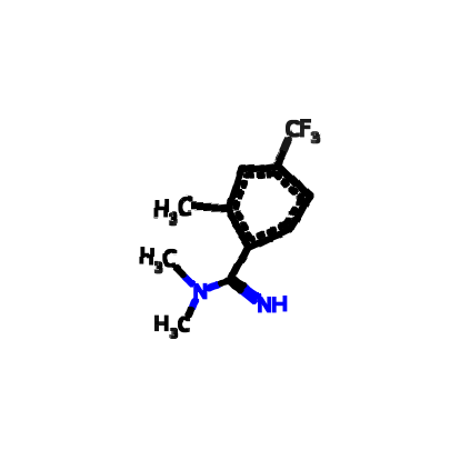 Cc1cc(C(F)(F)F)ccc1C(=N)N(C)C